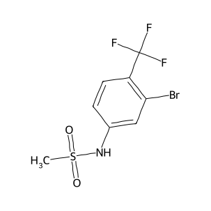 CS(=O)(=O)Nc1ccc(C(F)(F)F)c(Br)c1